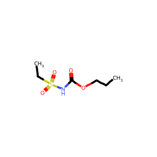 CCCOC(=O)NS(=O)(=O)CC